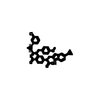 COc1ccc(Cn2c([C@H]3C[C@@H]3c3cccc(Cl)c3)nc(=O)c3ccc(N(Cc4cn5cc(C6CC6)ccc5n4)C(=O)O)cc32)cc1